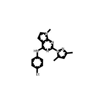 CCc1ccc(Nc2nc(-n3nc(C)cc3C)nc3c2ccn3C)cc1